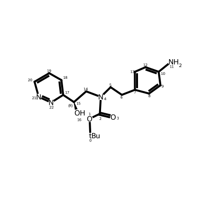 CC(C)(C)OC(=O)N(CCc1ccc(N)cc1)C[C@@H](O)c1cccnn1